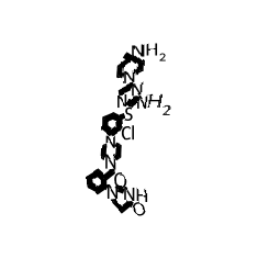 CC1(N)CCN(c2cnc(Sc3cccc(N4CCN(Cc5ccccc5N5CCC(=O)NC5=O)CC4)c3Cl)c(N)n2)CC1